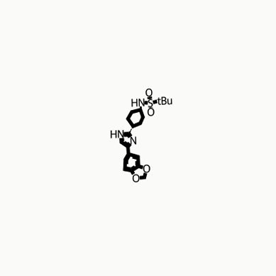 CC(C)(C)S(=O)(=O)N[C@H]1CC[C@H](c2nc(-c3ccc4c(c3)OCO4)c[nH]2)CC1